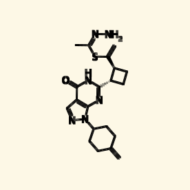 C=C1CCC(n2ncc3c(=O)[nH]c([C@H]4CC[C@@H]4C(=C)S/C(C)=N\N)nc32)CC1